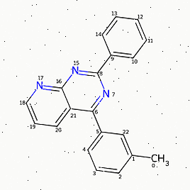 Cc1cccc(-c2nc(-c3ccccc3)nc3ncccc23)c1